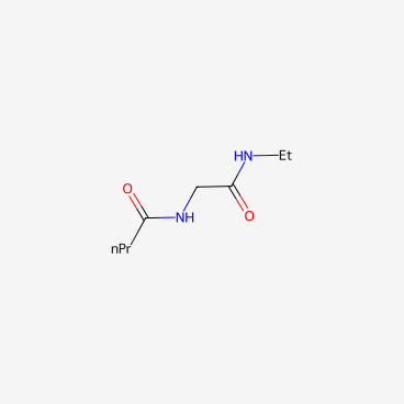 CCCC(=O)NCC(=O)NCC